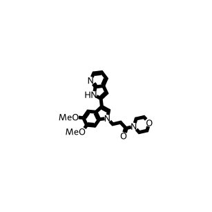 COc1cc2c(-c3cc4cccnc4[nH]3)cn(CCC(=O)N3CCOCC3)c2cc1OC